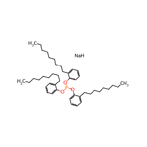 CCCCCCCCCc1ccccc1OP(Oc1ccccc1CCCCCCCCC)Oc1ccccc1CCCCCCCCC.[NaH]